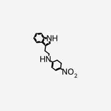 O=[N+]([O-])C1=CC=C(NCCc2c[nH]c3ccccc23)CC1